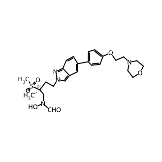 C[C@](CCn1cc2cc(-c3ccc(OCCN4CCOCC4)cc3)ccc2n1)(CN(O)C=O)S(C)(=O)=O